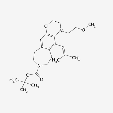 COCCN1CCOc2cc3c(c(C=C(C)C)c21)CCN(C(=O)OC(C)(C)C)CC3